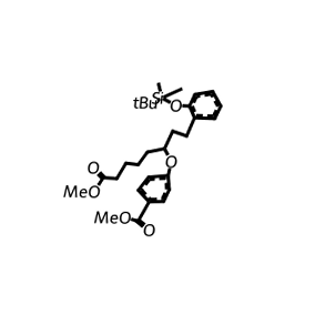 COC(=O)CCCCC(CCc1ccccc1O[Si](C)(C)C(C)(C)C)Oc1ccc(C(=O)OC)cc1